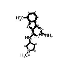 Cc1cccc2c1oc1c(NC3CCN(C)C3)nc(N)nc12